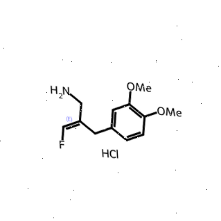 COc1ccc(C/C(=C\F)CN)cc1OC.Cl